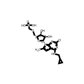 Cc1cc2c(NCC3CC3)nc(Cl)nc2n1[C@@H]1O[C@H](COCP(=O)(O)O)[C@@H](O)[C@H]1O